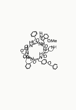 COc1cccc2[nH]cc(C[C@H]3NC(=O)[C@H](CCc4ccccc4)NC(=O)[C@@H]4COCCN4C(=O)[C@@H]4CCc5ccccc5CN4C(=O)[C@H](Cc4ccc(OCc5ccccc5)cc4)NC(=O)[C@H](CC4CCNCC4)NC3=O)c12